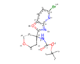 CC(C)(C)OC(=O)NC1(c2nc3nc(Br)ccc3o2)CCOCC1